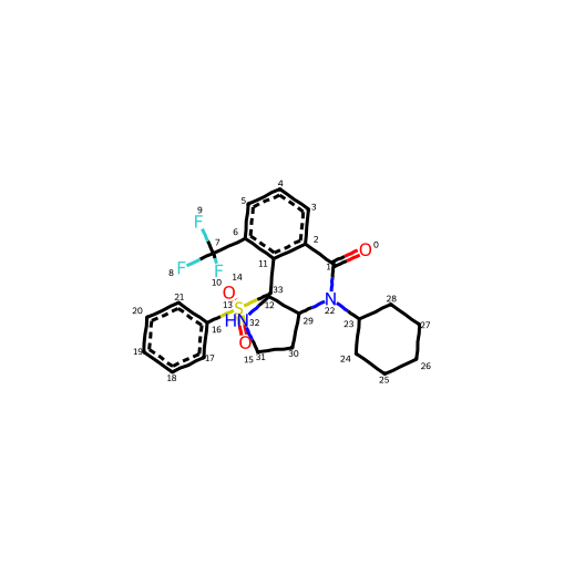 O=C(c1cccc(C(F)(F)F)c1CS(=O)(=O)c1ccccc1)N(C1CCCCC1)C1CCNC1